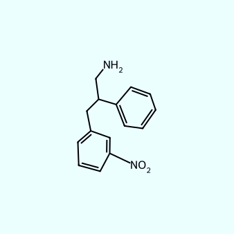 NCC(Cc1cccc([N+](=O)[O-])c1)c1ccccc1